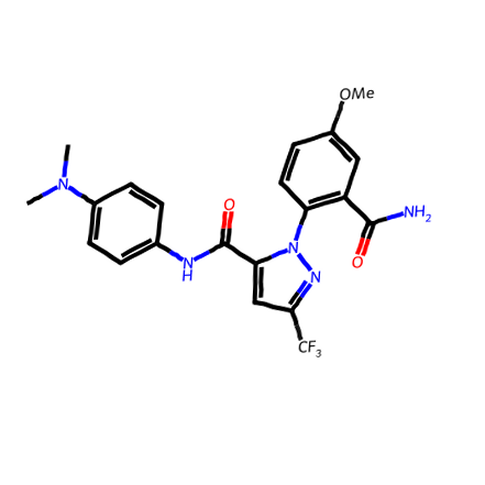 COc1ccc(-n2nc(C(F)(F)F)cc2C(=O)Nc2ccc(N(C)C)cc2)c(C(N)=O)c1